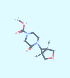 CC(C)(C)OC(=O)N1CCN(C2[C@H]3COC[C@H]23)C(=O)C1